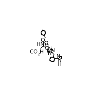 O=C(O)CC(NC(=O)OCc1ccccc1)C(=O)Cn1nnc(Cc2ccccc2-c2ncc[nH]2)n1